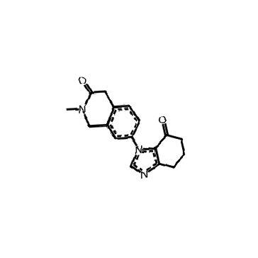 CN1Cc2cc(-n3cnc4c3C(=O)CCC4)ccc2CC1=O